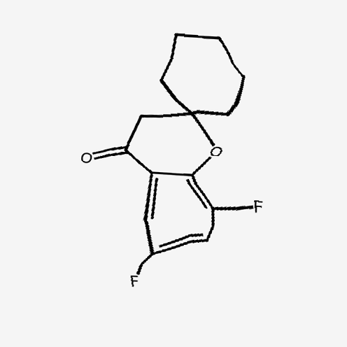 O=C1CC2(CCCCC2)Oc2c(F)cc(F)cc21